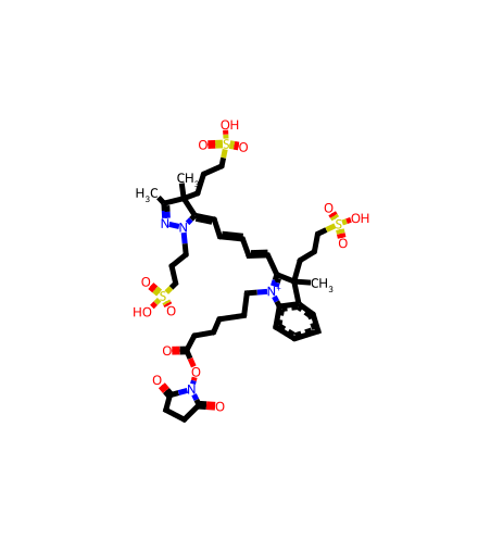 CC1=NN(CCCS(=O)(=O)O)\C(=C/C=C/C=C/C2=[N+](CCCCCC(=O)ON3C(=O)CCC3=O)c3ccccc3C2(C)CCCS(=O)(=O)O)C1(C)CCCS(=O)(=O)O